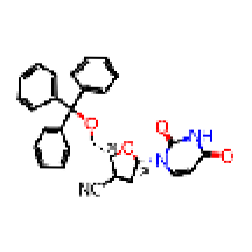 N#CC1C[C@@H](n2ccc(=O)[nH]c2=O)O[C@H]1COC(c1ccccc1)(c1ccccc1)c1ccccc1